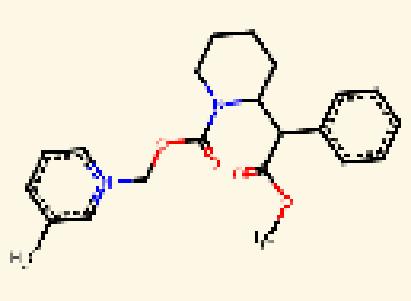 COC(=O)C(c1ccccc1)C1CCCCN1C(=O)OC[n+]1cccc(C)c1